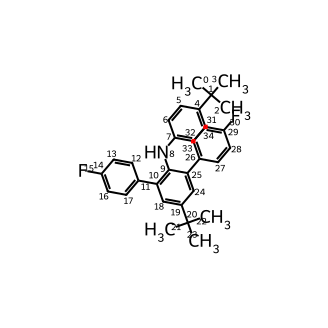 CC(C)(C)c1ccc(Nc2c(-c3ccc(F)cc3)cc(C(C)(C)C)cc2-c2ccc(F)cc2)cc1